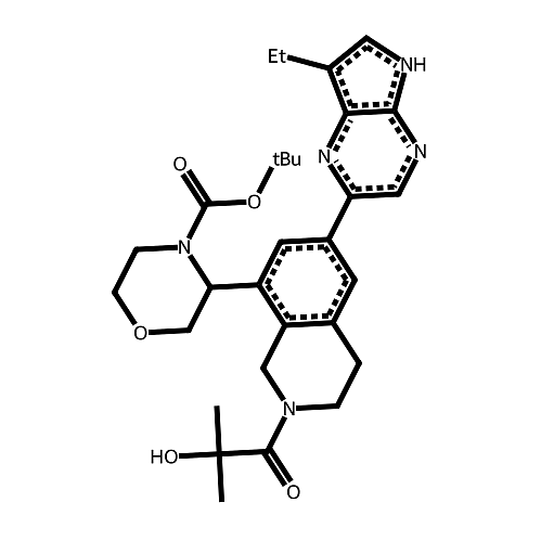 CCc1c[nH]c2ncc(-c3cc4c(c(C5COCCN5C(=O)OC(C)(C)C)c3)CN(C(=O)C(C)(C)O)CC4)nc12